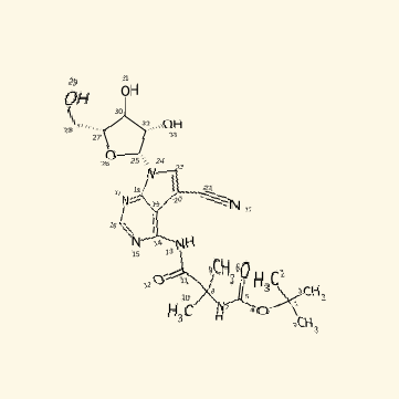 CC(C)(C)OC(=O)NC(C)(C)C(=O)Nc1ncnc2c1c(C#N)cn2[C@@H]1O[C@H](CO)C(O)[C@@H]1O